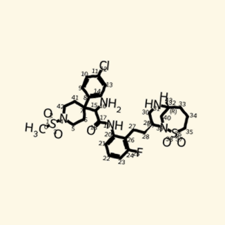 CS(=O)(=O)N1CCC(c2ccc(Cl)cc2)(C(N)C(=O)Nc2cccc(F)c2CC[C@H]2CN[C@@H]3CCCS(=O)(=O)N2C3)CC1